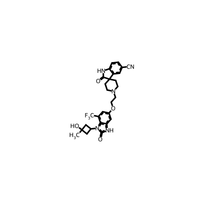 CC1(O)CC(n2c(=O)[nH]c3cc(OCCN4CCC5(CC4)C(=O)Nc4ccc(C#N)cc45)cc(C(F)(F)F)c32)C1